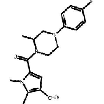 Cc1c(C=O)cc(C(=O)N2CCN(c3ccc(F)cc3)CC2C)n1C